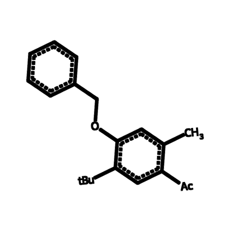 CC(=O)c1cc(C(C)(C)C)c(OCc2ccccc2)cc1C